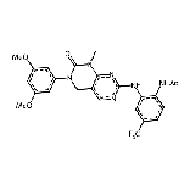 COc1cc(OC)cc(N2Cc3cnc(Nc4cc(C(F)(F)F)ccc4NC(C)=O)nc3N(C)C2=O)c1